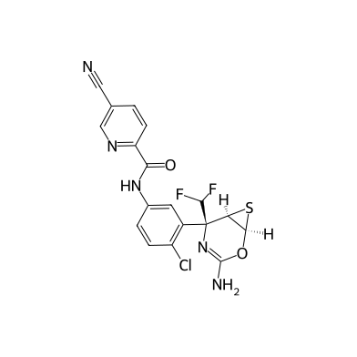 N#Cc1ccc(C(=O)Nc2ccc(Cl)c([C@@]3(C(F)F)N=C(N)O[C@@H]4S[C@@H]43)c2)nc1